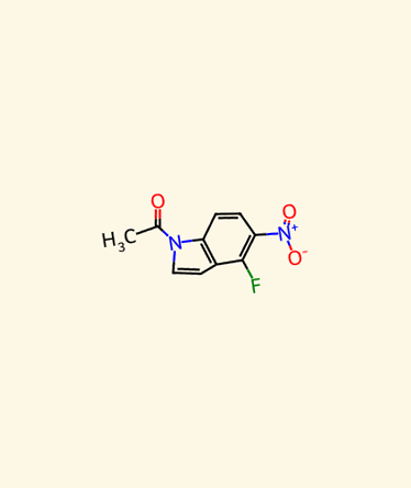 CC(=O)n1ccc2c(F)c([N+](=O)[O-])ccc21